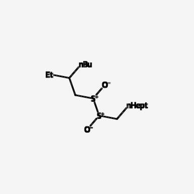 CCCCCCCC[S+]([O-])[S+]([O-])CC(CC)CCCC